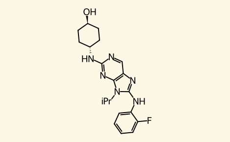 CC(C)n1c(Nc2ccccc2F)nc2cnc(N[C@H]3CC[C@H](O)CC3)nc21